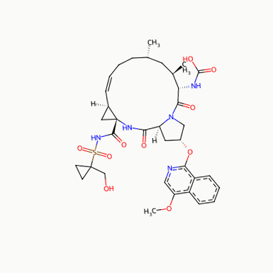 COc1cnc(O[C@@H]2C[C@H]3C(=O)N[C@]4(C(=O)NS(=O)(=O)C5(CO)CC5)C[C@H]4/C=C\CC[C@H](C)C[C@@H](C)[C@H](NC(=O)O)C(=O)N3C2)c2ccccc12